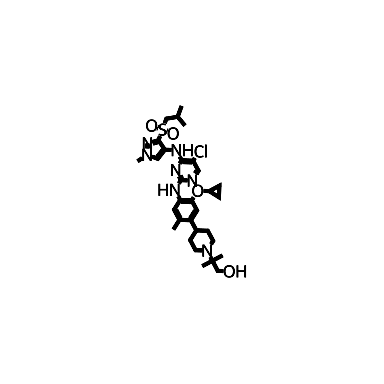 Cc1cc(Nc2ncc(Cl)c(Nc3cn(C)nc3S(=O)(=O)CC(C)C)n2)c(OC2CC2)cc1C1CCN(C(C)(C)CO)CC1